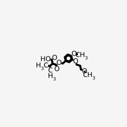 COCCCOc1cc(COC(=O)C(C(=O)O)C(C)C)ccc1OC